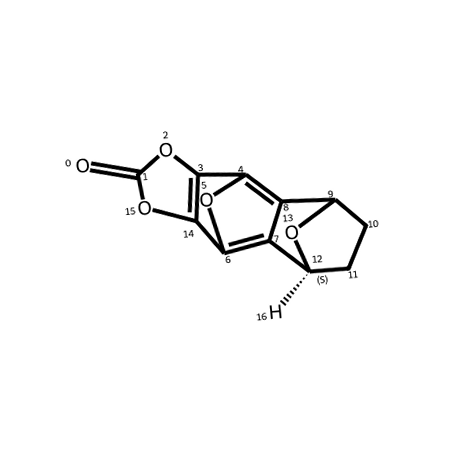 O=c1oc2c3oc(c4c3C3CC[C@@H]4O3)c2o1